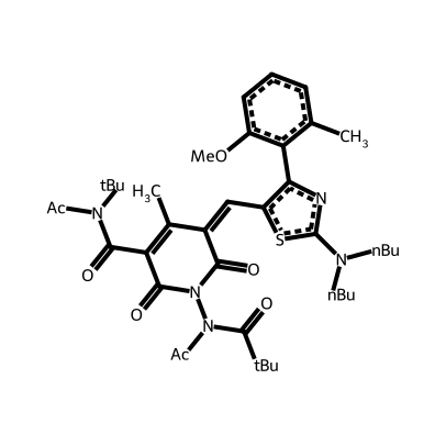 CCCCN(CCCC)c1nc(-c2c(C)cccc2OC)c(/C=C2\C(=O)N(N(C(C)=O)C(=O)C(C)(C)C)C(=O)C(C(=O)N(C(C)=O)C(C)(C)C)=C2C)s1